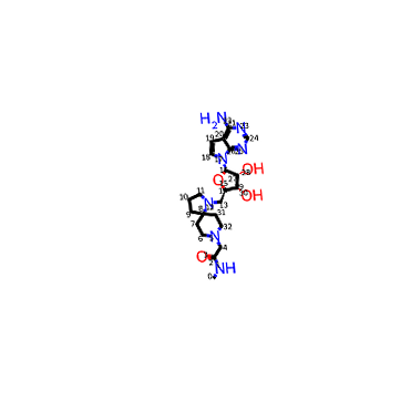 CNC(=O)CN1CCC2(CCCN2C[C@H]2O[C@@H](n3ccc4c(N)ncnc43)[C@H](O)[C@@H]2O)CC1